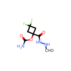 NC(=O)OC1(C(=O)NNC=O)CC(F)(F)C1